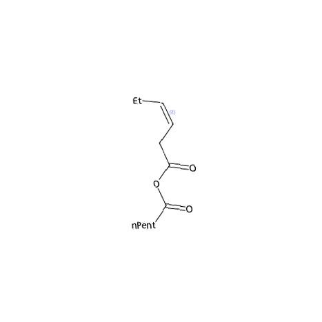 CC/C=C\CC(=O)OC(=O)CCCCC